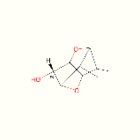 CC1C2OC3C1OC(C2C)[C@@H]3O